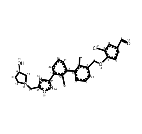 Cc1c(COc2ccc(C=O)cc2Cl)cccc1-c1cccc(-c2noc(CN3CC[C@@H](O)C3)n2)c1C